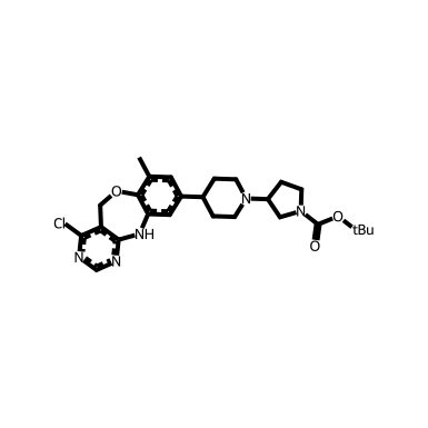 Cc1cc(C2CCN(C3CCN(C(=O)OC(C)(C)C)C3)CC2)cc2c1OCc1c(Cl)ncnc1N2